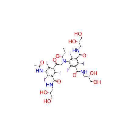 CCC(=O)N(CC(=O)c1c(I)c(NC(C)=O)c(I)c(C(=O)NCC(O)CO)c1I)c1c(I)c(C(=O)NCC(O)CO)c(I)c(C(=O)NCC(O)CO)c1I